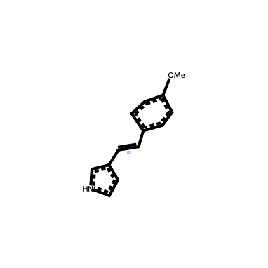 COc1ccc(/C=C/c2cc[nH]c2)cc1